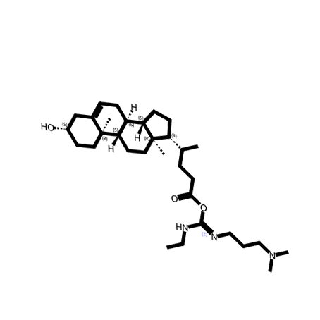 CCN/C(=N/CCCN(C)C)OC(=O)CCC(C)[C@H]1CC[C@H]2[C@@H]3CC=C4C[C@@H](O)CC[C@]4(C)[C@H]3CC[C@]12C